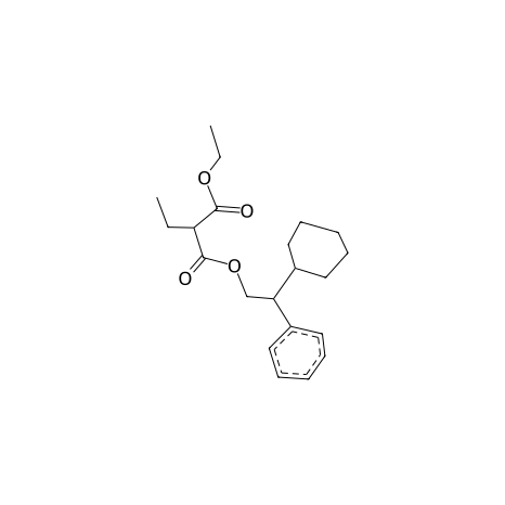 CCOC(=O)C(CC)C(=O)OCC(c1ccccc1)C1CCCCC1